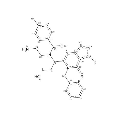 CCC(c1nc2snc(C)c2c(=O)n1Cc1ccccc1)N(CCN)C(=O)c1ccc(C)cc1.Cl